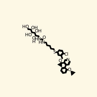 O=C(NCCCCCSc1ccc(Cl)c(COC2(c3cnccc3-c3ccccc3OC3CC3)CC2)c1)NC[C@H](O)[C@@H](O)[C@H](O)[C@H](O)CO